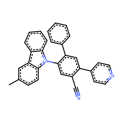 Cc1ccc2c(c1)c1ccccc1n2-c1cc(C#N)c(-c2ccncc2)cc1-c1ccccc1